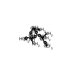 NCCCC[C@](N)(C(=O)CCc1ccc(O)cc1)C(=O)Nc1ccc(C(c2ccc(NC(=O)[C@](N)(CCCCN)C(=O)CCc3ccc(O)cc3)cc2)c2ccc(NC(=O)[C@](N)(CCCCN)C(=O)CCc3ccc(OC(=O)C(F)(F)F)cc3)cc2)cc1